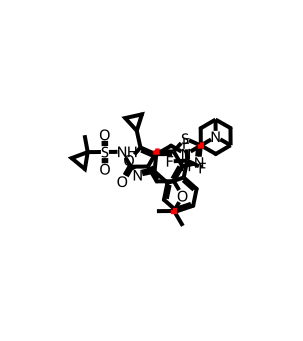 CC(C)Oc1cc(C(=O)NS(=O)(=O)C2(C)CC2)cc2sc(N3C4CC(NCc5c(-c6ccccc6C(F)(F)F)noc5C5CC5)CC3C4)nc12